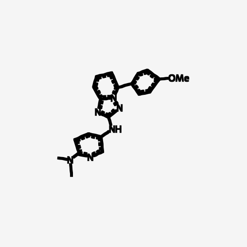 COc1ccc(-c2cccc3nc(Nc4ccc(N(C)C)nc4)nn23)cc1